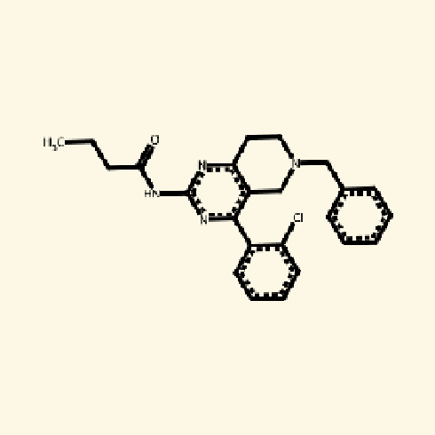 CCCC(=O)Nc1nc2c(c(-c3ccccc3Cl)n1)CN(Cc1ccccc1)CC2